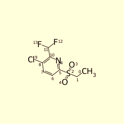 CCS(=O)(=O)c1ccc(Cl)c(C(F)F)n1